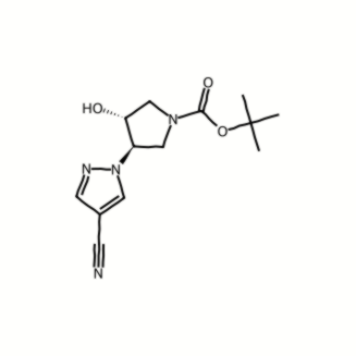 CC(C)(C)OC(=O)N1C[C@@H](O)[C@H](n2cc(C#N)cn2)C1